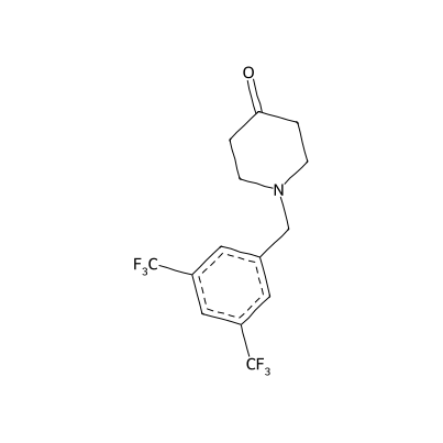 O=C1CCN(Cc2cc(C(F)(F)F)cc(C(F)(F)F)c2)CC1